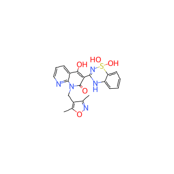 Cc1noc(C)c1Cn1c(=O)c(C2=NS(O)(O)c3ccccc3N2)c(O)c2cccnc21